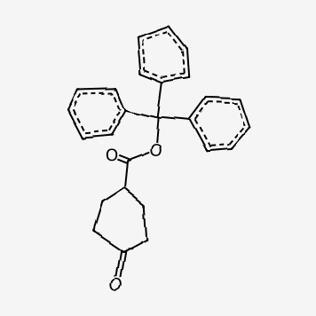 O=C1CCC(C(=O)OC(c2ccccc2)(c2ccccc2)c2ccccc2)CC1